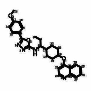 CCC(Nc1nnc(-c2ccc(OC)cc2)o1)C1CCC(Oc2ccnc3ccccc23)CC1